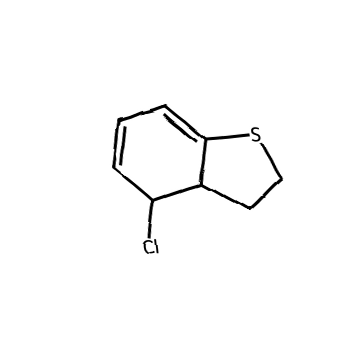 ClC1C=CC=C2SCCC21